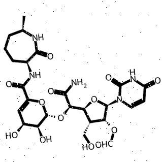 C[C@@H]1CCC[C@H](NC(=O)C2=C[C@H](O)[C@H](O)[C@@H](O[C@@H](C(N)=O)[C@H]3O[C@@H](n4ccc(=O)[nH]c4=O)[C@H](OC=O)[C@@H]3CO)O2)C(=O)N1